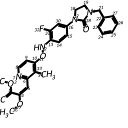 C=C(OC)/C(=C\c1nccc(ONc2ccc(N3CCN(Cc4ccccc4)C3=O)cc2F)c1C)OC